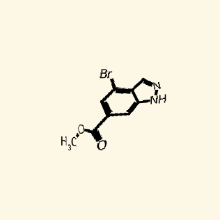 COC(=O)c1cc(Br)c2cn[nH]c2c1